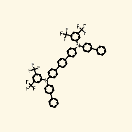 FC(F)(F)c1cc(N(c2ccc(-c3ccccc3)cc2)c2ccc(-c3ccc(-c4ccc(N(c5ccc(-c6ccccc6)cc5)c5cc(C(F)(F)F)cc(C(F)(F)F)c5)cc4)cc3)cc2)cc(C(F)(F)F)c1